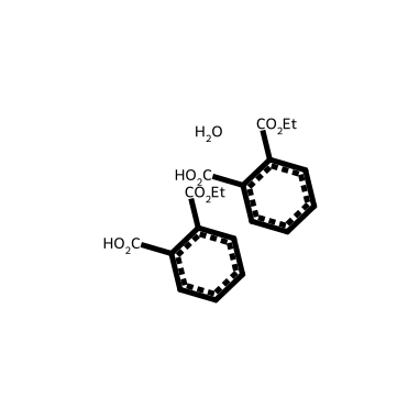 CCOC(=O)c1ccccc1C(=O)O.CCOC(=O)c1ccccc1C(=O)O.O